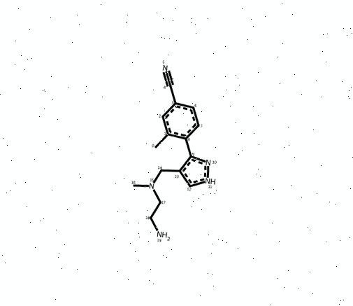 Cc1cc(C#N)ccc1-c1n[nH]cc1CN(C)CCN